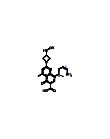 Cc1cc(N2CC(NO)C2)nc2c1c(=O)c(C(=O)O)cn2[C@@H](C)S/C=C\N